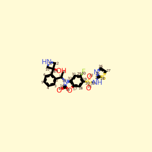 CC(c1ccccc1C1(O)CNC1)n1c(=O)oc2cc(S(=O)(=O)Nc3nccs3)c(F)cc21